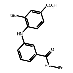 CC(C)NC(=O)c1cccc(Nc2ccc(C(=O)O)cc2C(C)(C)C)c1